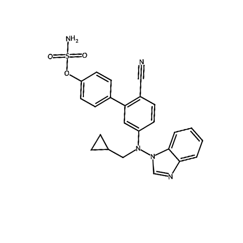 N#Cc1ccc(N(CC2CC2)n2cnc3ccccc32)cc1-c1ccc(OS(N)(=O)=O)cc1